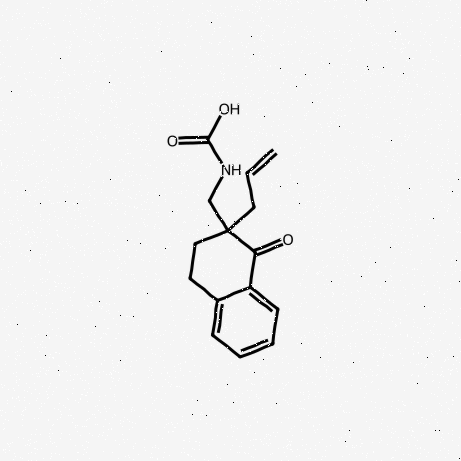 C=CCC1(CNC(=O)O)CCc2ccccc2C1=O